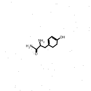 NC(=O)C(N)CC1=CC=C(O)CC1